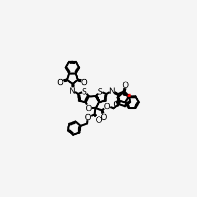 O=C(OCc1ccccc1)C1(C(=O)OCc2ccccc2)Oc2cc(N=c3c(=O)c4ccccc4c3=O)sc2-c2sc(N=c3c(=O)c4ccccc4c3=O)cc21